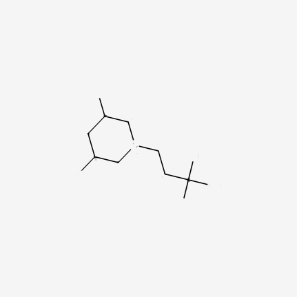 CC(C)(C)CCN1CC(F)CC(F)C1